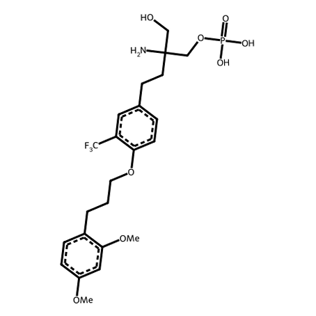 COc1ccc(CCCOc2ccc(CCC(N)(CO)COP(=O)(O)O)cc2C(F)(F)F)c(OC)c1